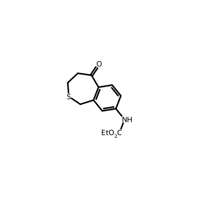 CCOC(=O)Nc1ccc2c(c1)CSCCC2=O